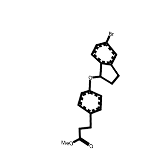 COC(=O)CCc1ccc(OC2CCc3cc(Br)ccc32)cc1